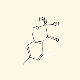 Cc1cc(C)c(C(=O)[PH](O)(O)O)c(C)c1